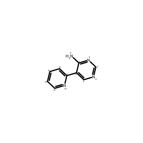 Nc1ncncc1-c1ccccn1